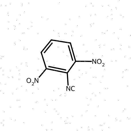 [C-]#[N+]c1c([N+](=O)[O-])cccc1[N+](=O)[O-]